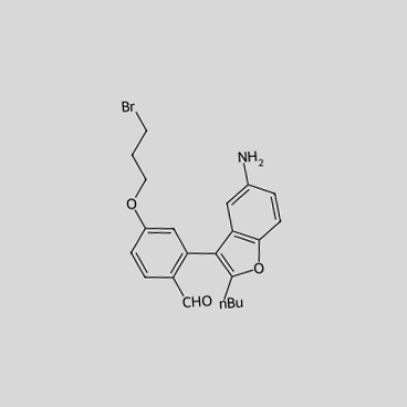 CCCCc1oc2ccc(N)cc2c1-c1cc(OCCCBr)ccc1C=O